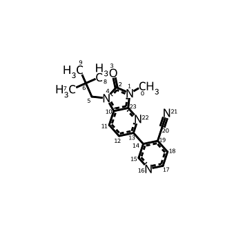 Cn1c(=O)n(CC(C)(C)C)c2ccc(-c3cnccc3C#N)nc21